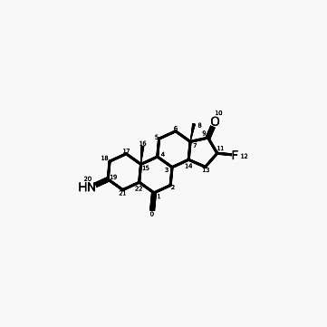 C=C1CC2C(CC[C@]3(C)C(=O)C(F)CC23)[C@@]2(C)CCC(=N)CC12